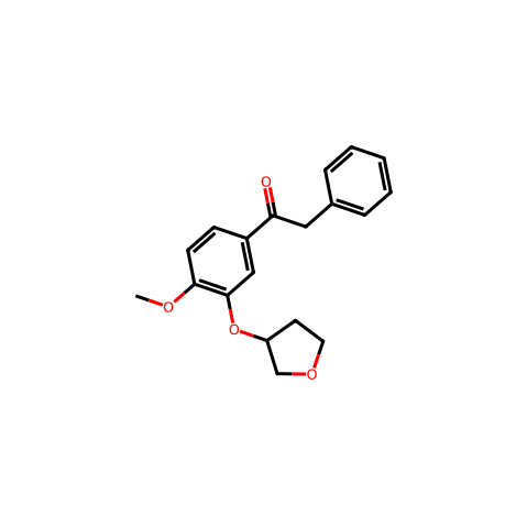 COc1ccc(C(=O)Cc2ccccc2)cc1OC1CCOC1